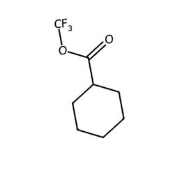 O=C(OC(F)(F)F)C1CCCCC1